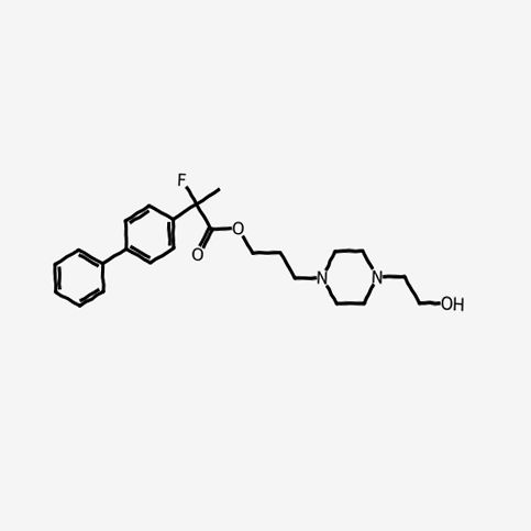 CC(F)(C(=O)OCCCN1CCN(CCO)CC1)c1ccc(-c2ccccc2)cc1